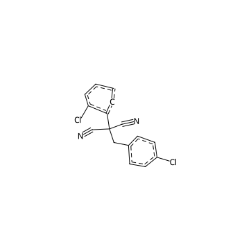 N#CC(C#N)(Cc1ccc(Cl)cc1)c1ccccc1Cl